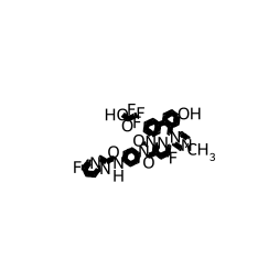 CN1CCN(Cc2cc(O)ccc2-c2cccc(-n3c(=O)n([C@H]4CC[C@@H](NC(=O)c5cn6cc(F)ccc6n5)CC4)c(=O)c4cc(F)cnc43)c2)CC1.O=C(O)C(F)(F)F